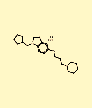 Cl.Cl.c1cc2c(cc1OCCCN1CCCCC1)CCN2CC1CCCC1